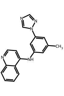 Cc1cc(Nc2ccnc3ccccc23)cc(-n2cncn2)c1